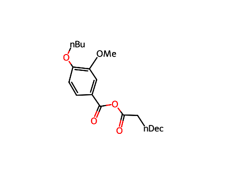 CCCCCCCCCCCC(=O)OC(=O)c1ccc(OCCCC)c(OC)c1